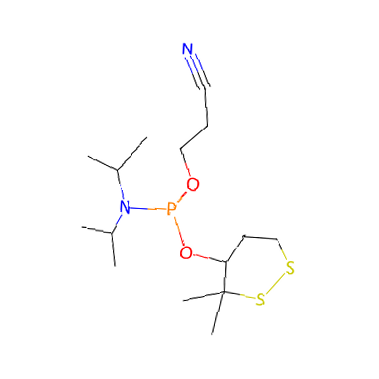 CC(C)N(C(C)C)P(OCCC#N)OC1CCSSC1(C)C